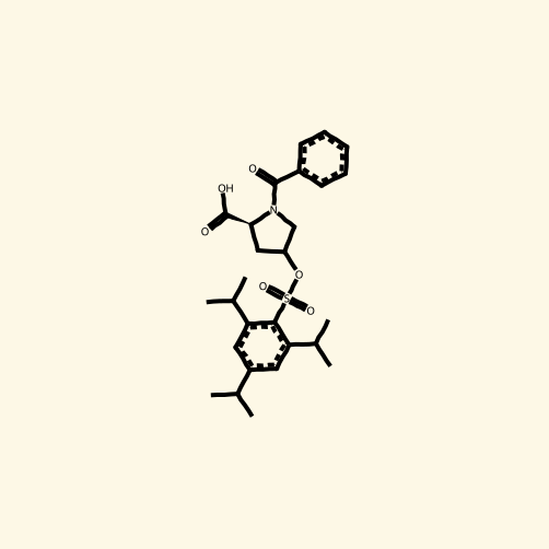 CC(C)c1cc(C(C)C)c(S(=O)(=O)OC2C[C@@H](C(=O)O)N(C(=O)c3ccccc3)C2)c(C(C)C)c1